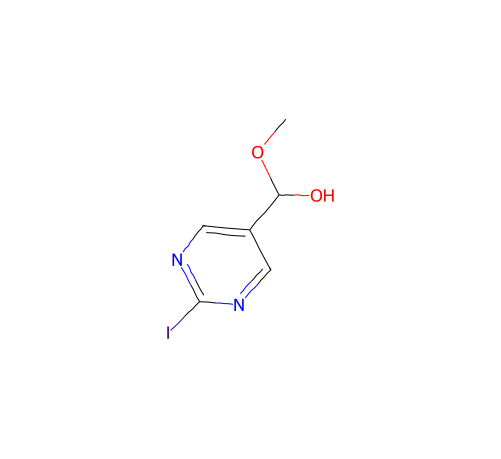 COC(O)c1cnc(I)nc1